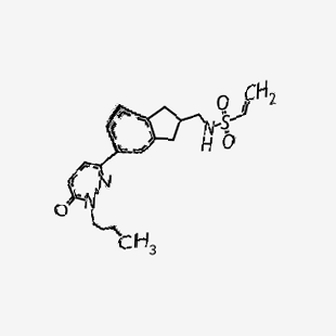 C=CS(=O)(=O)NCC1Cc2ccc(-c3ccc(=O)n(CCC)n3)cc2C1